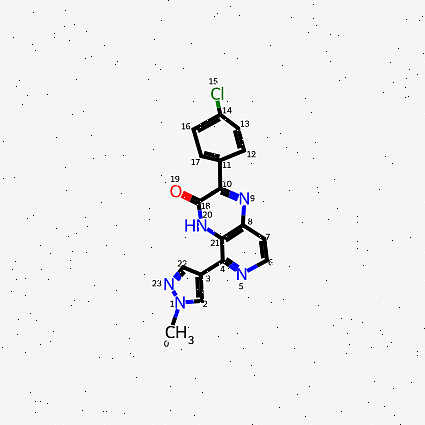 Cn1cc(-c2nccc3nc(-c4ccc(Cl)cc4)c(=O)[nH]c23)cn1